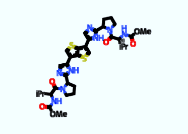 COC(=O)NC(C(=O)N1CCCC1c1ncc(-c2csc3c(-c4cnc(C5CCCN5C(=O)[C@@H](NC(=O)OC)C(C)C)[nH]4)csc23)[nH]1)C(C)C